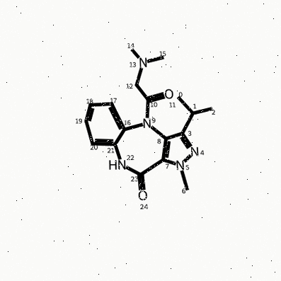 CC(C)c1nn(C)c2c1N(C(=O)CN(C)C)c1ccccc1NC2=O